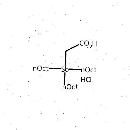 CCCCCCC[CH2][Sb]([CH2]CCCCCCC)([CH2]CCCCCCC)[CH2]C(=O)O.Cl